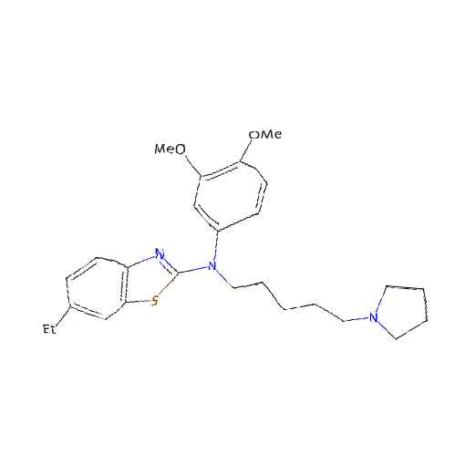 CCc1ccc2nc(N(CCCCCN3CCCC3)c3ccc(OC)c(OC)c3)sc2c1